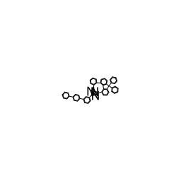 c1ccc(-c2ccc(-c3cccc(-c4nc5nc(n4)-c4cccc6c4-c4c(cccc4C6(c4ccccc4)c4ccccc4)-c4ccccc4-5)c3)cc2)cc1